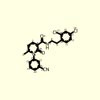 Cc1ccc(C(=O)NCCc2ccc(Cl)cc2Cl)c(=O)n1-c1cccc(C#N)c1